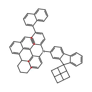 c1ccc(N(c2ccc(-c3cccc4ccccc34)cc2)c2ccc3c(c2)C2(c4ccccc4-3)C3CC4CC5CC2C453)c(-c2cccc3cccc(C4CCCCC4)c23)c1